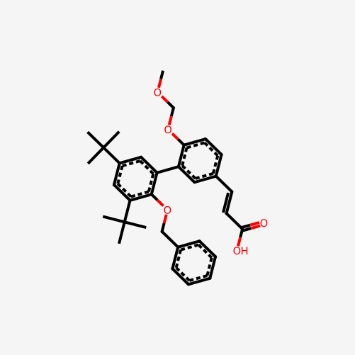 COCOc1ccc(C=CC(=O)O)cc1-c1cc(C(C)(C)C)cc(C(C)(C)C)c1OCc1ccccc1